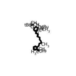 C[C@H](CCC/C=C/C=C1\C[C@@H](O[Si](C)(C)C(C)(C)C)C[C@@H](O[Si](C)(C)C(C)(C)C)C1)CCc1ccccc1C(C)(C)O